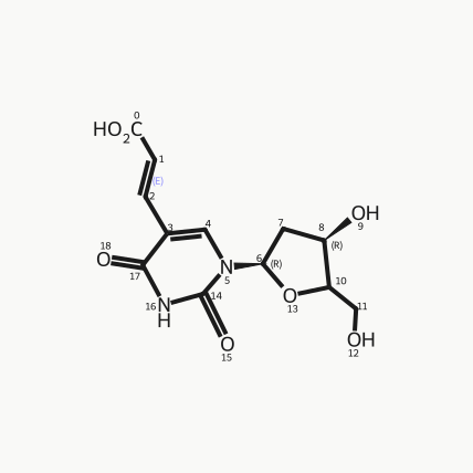 O=C(O)/C=C/c1cn([C@H]2C[C@@H](O)C(CO)O2)c(=O)[nH]c1=O